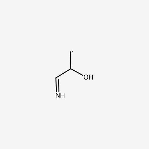 [CH2]C(O)C=N